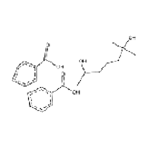 CC(O)CCCC(C)(C)O.O=C(O)c1ccccc1.O=C(O)c1ccccc1